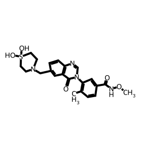 CONC(=O)c1ccc(C)c(-n2cnc3ccc(CN4CCS(O)(O)CC4)cc3c2=O)c1